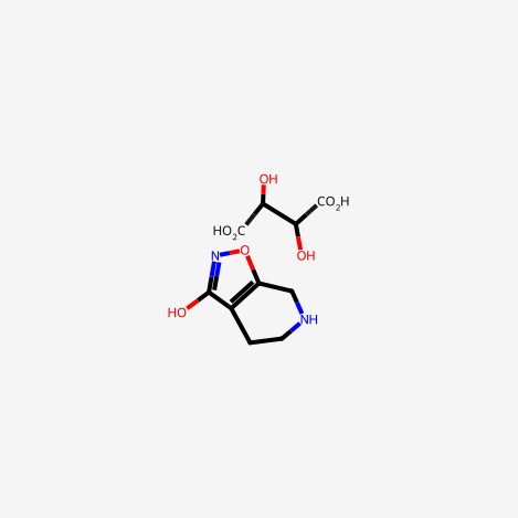 O=C(O)C(O)C(O)C(=O)O.Oc1noc2c1CCNC2